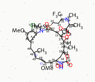 COc1cc2cc(c1Cl)N(C)C(=O)C[C@H](OC(=O)[C@H](C)N(C)[C@H](CCSSC)C(F)(F)F)[C@]1(C)O[C@H]1[C@H](C)[C@@H]1C[C@@](O)(NC(=O)O1)[C@H](OC)/C=C/C=C(\C)C2